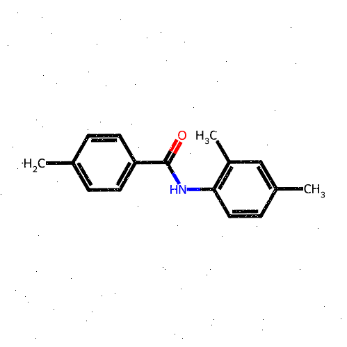 [CH2]c1ccc(C(=O)Nc2ccc(C)cc2C)cc1